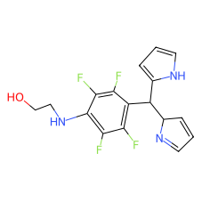 OCCNc1c(F)c(F)c(C(c2ccc[nH]2)C2C=CC=N2)c(F)c1F